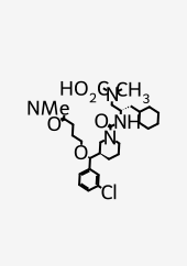 CNC(=O)CCCO[C@@H](c1cccc(Cl)c1)[C@@H]1CCCN(C(=O)N[C@@H](CC2CCCCC2)CN(C)C(=O)O)C1